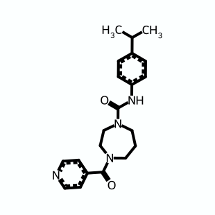 CC(C)c1ccc(NC(=O)N2CCCN(C(=O)c3ccncc3)CC2)cc1